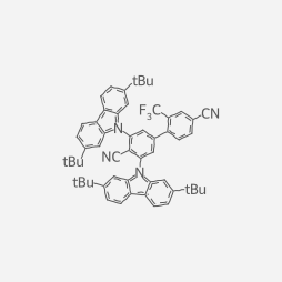 CC(C)(C)c1ccc2c3ccc(C(C)(C)C)cc3n(-c3cc(-c4ccc(C#N)cc4C(F)(F)F)cc(-n4c5cc(C(C)(C)C)ccc5c5ccc(C(C)(C)C)cc54)c3C#N)c2c1